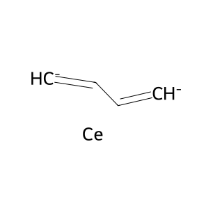 [CH-]=CC=[CH-].[Ce]